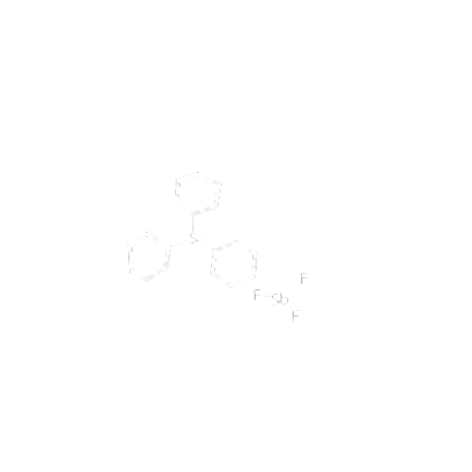 [F][Sb]([F])[F].c1ccc([S+](c2ccccc2)c2ccccc2)cc1